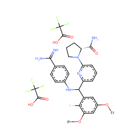 CCOc1cc(OC(C)C)c(F)c(C(Nc2ccc(C(=N)N)cc2)c2cccc(N3CCC[C@@H]3C(N)=O)n2)c1.O=C(O)C(F)(F)F.O=C(O)C(F)(F)F